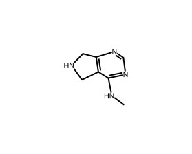 CNc1ncnc2c1CNC2